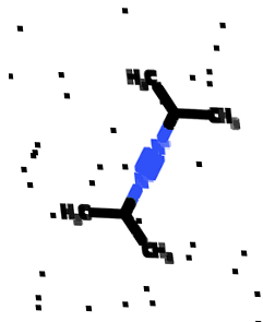 CC(C)[N+]#[N+]C(C)C